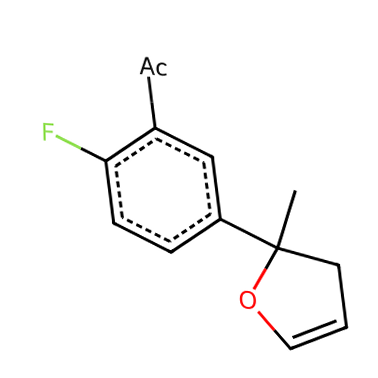 CC(=O)c1cc(C2(C)CC=CO2)ccc1F